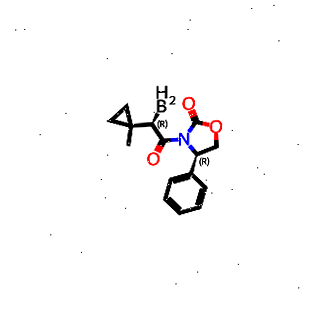 B[C@@H](C(=O)N1C(=O)OC[C@H]1c1ccccc1)C1(C)CC1